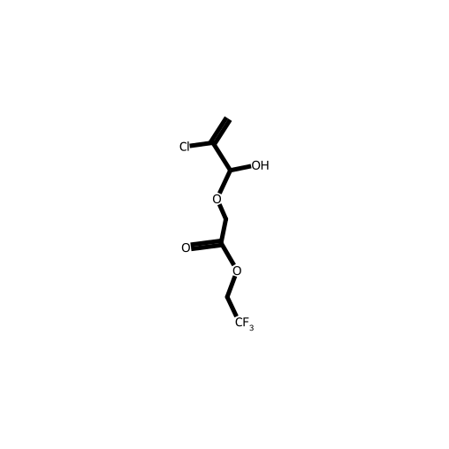 C=C(Cl)C(O)OCC(=O)OCC(F)(F)F